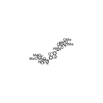 COC(=O)N[C@H](C(=O)N1[C@@H](C)CC[C@H]1c1ncc(-c2cc3c4c(c2)OCc2cc(-c5cnc([C@@H]6CC[C@H](C)N6C(=O)[C@@H](NC(=O)OC)[C@@H](C)OC)[nH]5)cc(c2-4)OC3)[nH]1)[C@@H](C)OC